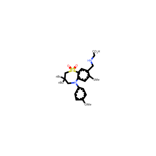 CCCCC1(CCCC)CN(c2ccc(OC)cc2)c2cc(SC)c(CNCC(=O)O)cc2S(=O)(=O)C1